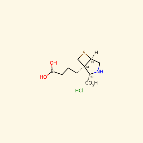 Cl.O=C(O)[C@H]1NC[C@@H]2SC[C@@]21CCCB(O)O